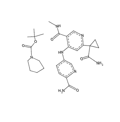 CC(C)(C)OC(=O)N1CCCCC1.CNC(=O)c1cnc(C2(C(N)=O)CC2)cc1Nc1ccc(C(N)=O)nc1